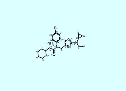 CCN(c1nc(CN(C(=O)[C@@H](N)C2CCCCC2)c2ccc(F)cc2)cs1)C1CC1